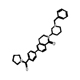 O=C(c1ccc(-c2ccc3c(c2)CCN(C2CCCN(Cc4ccccc4)C2)C3=O)cc1)N1CCCC1